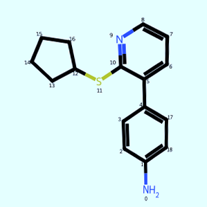 Nc1ccc(-c2cccnc2SC2CCCC2)cc1